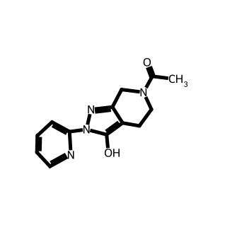 CC(=O)N1CCc2c(nn(-c3ccccn3)c2O)C1